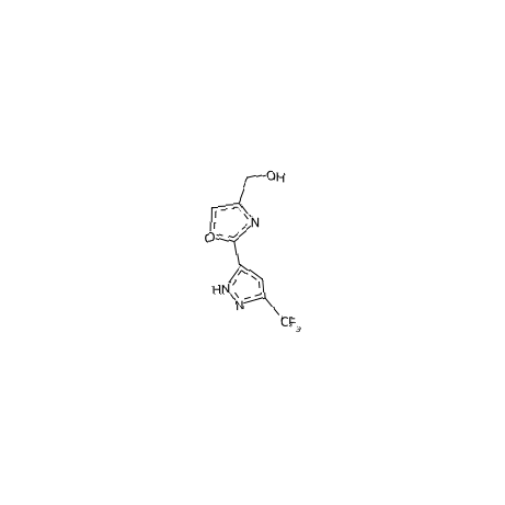 OCc1coc(-c2cc(C(F)(F)F)n[nH]2)n1